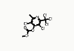 COC(=O)Oc1c(Cl)c(C)nc(C(Cl)(Cl)Cl)c1Cl